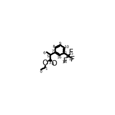 CCOC(=O)C(C)c1cccc(C(F)(F)F)c1